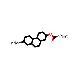 CCCCCCCCCC1CCC2C(CCC3CC(OC(=O)CCCCC)CCC32)C1